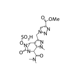 COC(=O)c1cn(Cc2nn(C)c3c2C2CN(C(=O)N2OS(=O)(=O)O)C3C(=O)N(C)C)nn1